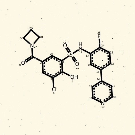 O=C(c1cc(Cl)c(O)c(S(=O)(=O)Nc2cc(-c3ccncc3)ccc2F)c1)N1CCC1